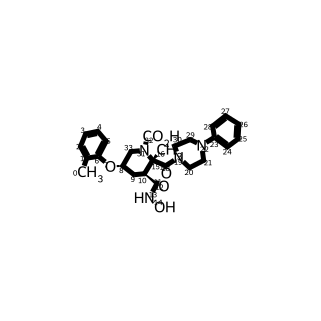 Cc1ccccc1O[C@H]1C[C@H](C(=O)NO)[C@@](C)(C(=O)N2CCN(c3ccccc3)CC2)N(C(=O)O)C1